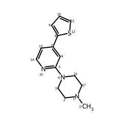 CN1CCN(c2cc(-c3cc[c]s3)ccn2)CC1